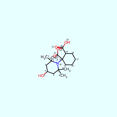 CC1(C)CC(O)CC(C)(C)N1C1(C(=O)O)CCCCC1C(=O)O